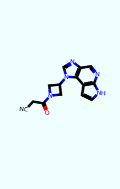 N#CCC(=O)N1CC(n2cnc3cnc4[nH]ccc4c32)C1